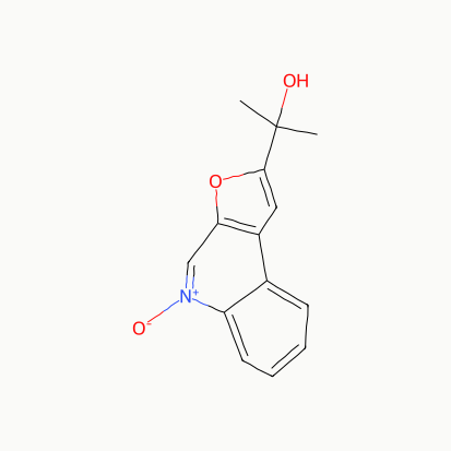 CC(C)(O)c1cc2c(c[n+]([O-])c3ccccc23)o1